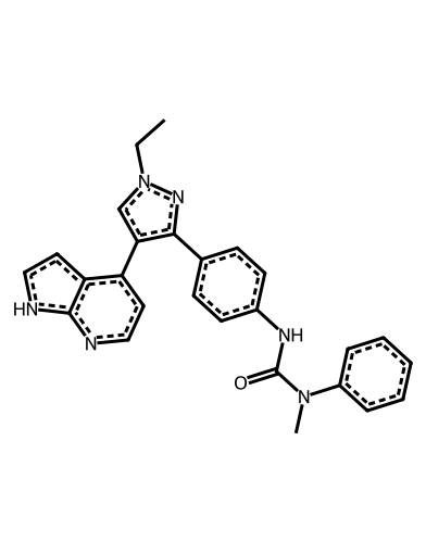 CCn1cc(-c2ccnc3[nH]ccc23)c(-c2ccc(NC(=O)N(C)c3ccccc3)cc2)n1